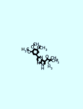 COc1cc(-c2cnc3[nH]cc(C(=O)C(C)(C)C)c3n2)cc(OC)c1OC